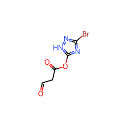 O=CCC(=O)Oc1nc(Br)n[nH]1